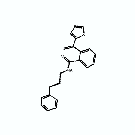 O=C(NCCCc1ccccc1)c1ccccc1C(=O)c1cccs1